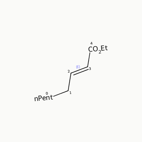 CCCCCC/C=C/C(=O)OCC